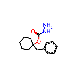 NNC(=O)OC1(Cc2ccccc2)CCCCC1